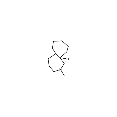 CN1CCCC2CCCCC[C@@H]2C1